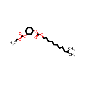 CCOC(=O)OC1CCCC(OC(=O)OCCCCCCCCCC(C)C)C1